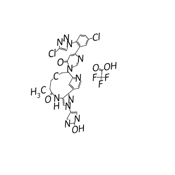 C[C@@H]1CCC[C@H](n2cnc(-c3cc(Cl)ccc3-n3cc(Cl)nn3)cc2=O)c2cc(ccn2)-c2nn(-c3cnc(O)nc3)cc2NC1=O.O=C(O)C(F)(F)F